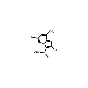 CCc1nc2c(C)cc(Br)cn2c1N(C=O)CC